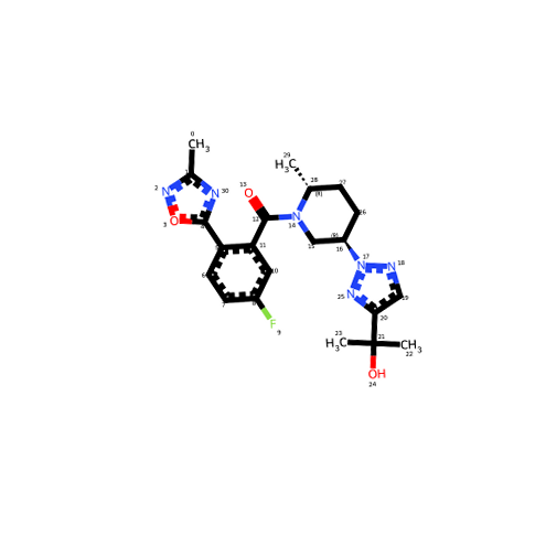 Cc1noc(-c2ccc(F)cc2C(=O)N2C[C@H](n3ncc(C(C)(C)O)n3)CC[C@H]2C)n1